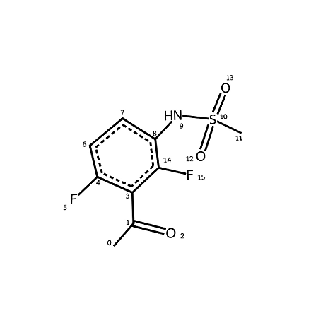 CC(=O)c1c(F)ccc(NS(C)(=O)=O)c1F